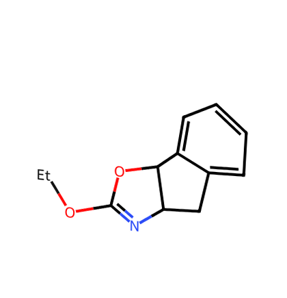 CCOC1=NC2Cc3ccccc3C2O1